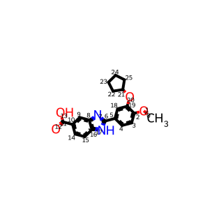 COc1ccc(-c2nc3cc(C(=O)O)ccc3[nH]2)cc1OC1CCCC1